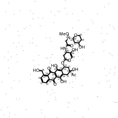 CON(CC(=O)N[C@@H]1C[C@H](O[C@H]2C[C@](O)(C(C)=O)Cc3c(O)c4c(c(O)c32)C(=O)c2c(CO)cccc2C4=O)OC=C1O)[C@H]1CC(O)CCO1